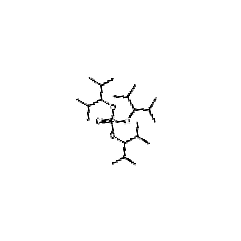 CC(C)C(OP(=O)(OC(C(C)C)C(C)C)OC(C(C)C)C(C)C)C(C)C